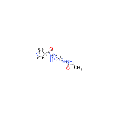 CCC(=O)N/N=C/C=N/NC(=O)c1ccncc1